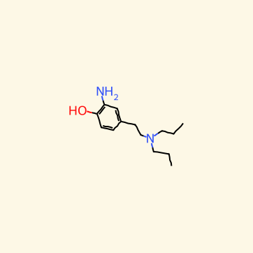 CCCN(CCC)CCc1ccc(O)c(N)c1